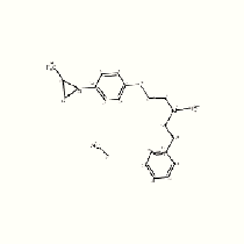 CC#N.CC(C)N(CCCc1ccc(C2CC2C(F)(F)F)cc1)CCc1ccccc1